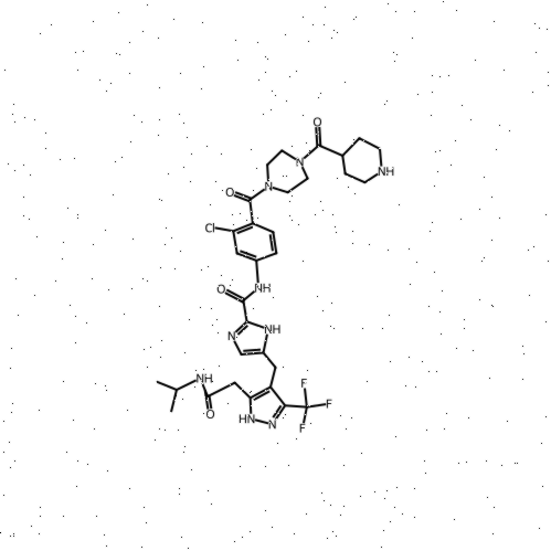 CC(C)NC(=O)Cc1[nH]nc(C(F)(F)F)c1Cc1cnc(C(=O)Nc2ccc(C(=O)N3CCN(C(=O)C4CCNCC4)CC3)c(Cl)c2)[nH]1